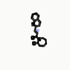 O=C1C=CCCCN1C(=O)/C=C/c1ccc2ccccc2n1